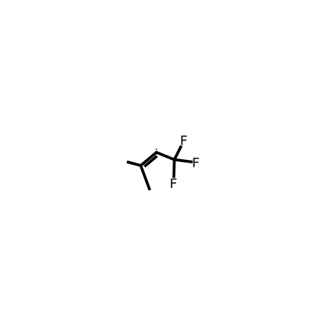 CC(C)=[C]C(F)(F)F